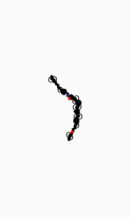 C=COC(=O)CCCCCCOc1ccc(OC(=O)c2ccc(C(=O)Oc3cccc(OC(=O)c4ccc(/C=C/c5ccc(OCCCCCCOC(=O)C=C)cc5)cc4)c3)cc2)cc1